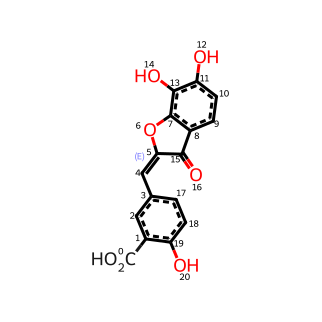 O=C(O)c1cc(/C=C2/Oc3c(ccc(O)c3O)C2=O)ccc1O